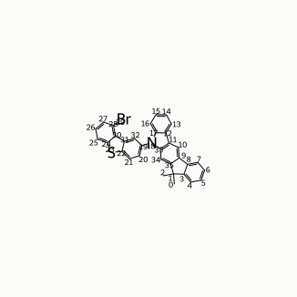 CC1(C)c2ccccc2-c2cc3c4ccccc4n(-c4ccc5sc6cccc(Br)c6c5c4)c3cc21